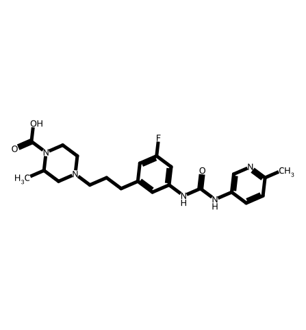 Cc1ccc(NC(=O)Nc2cc(F)cc(CCCN3CCN(C(=O)O)C(C)C3)c2)cn1